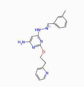 Cc1cccc(/C=N/Nc2cc(N)nc(OCCc3ccccn3)n2)c1